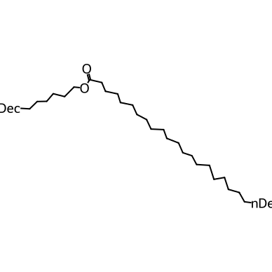 CCCCCCCCCCCCCCCCCCCCCCCCCCCCCCC(=O)OCCCCCCCCCCCCCCCC